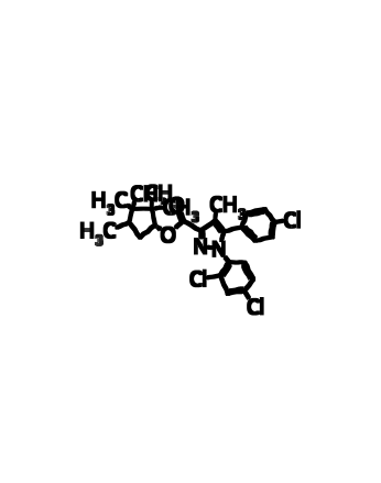 Cc1c(C(=O)O[C@H]2CC(C)C(C)(C)C2(C)C)nn(-c2ccc(Cl)cc2Cl)c1-c1ccc(Cl)cc1